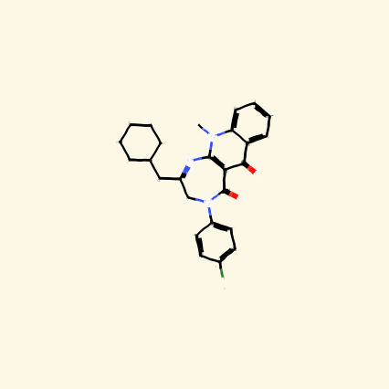 Cn1c2c(c(=O)c3ccccc31)C(=O)N(c1ccc(Cl)cc1)CC(CC1CCCCC1)=N2